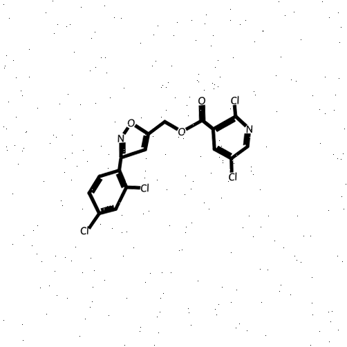 O=C(OCc1cc(-c2ccc(Cl)cc2Cl)no1)c1cc(Cl)cnc1Cl